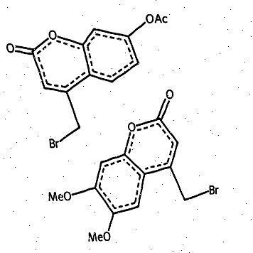 CC(=O)Oc1ccc2c(CBr)cc(=O)oc2c1.COc1cc2oc(=O)cc(CBr)c2cc1OC